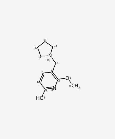 COc1nc(O)ccc1CN1CCCC1